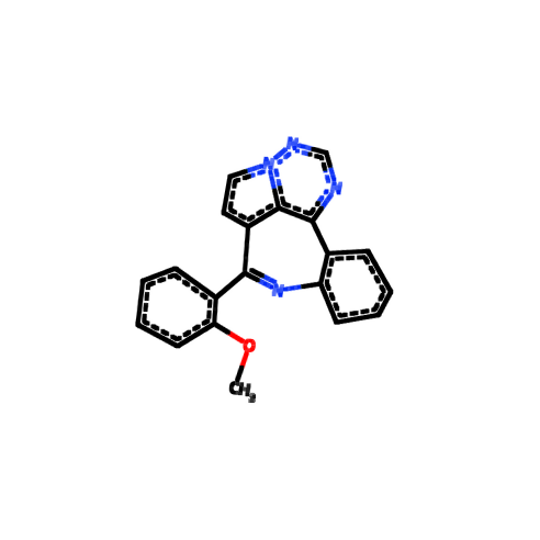 COc1ccccc1C1=Nc2ccccc2-c2ncnn3ccc1c23